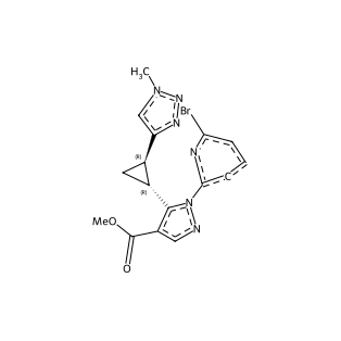 COC(=O)c1cnn(-c2cccc(Br)n2)c1[C@@H]1C[C@H]1c1cn(C)nn1